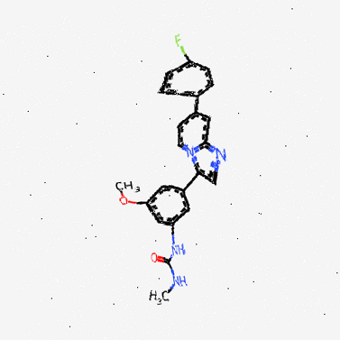 CNC(=O)Nc1cc(OC)cc(-c2cnc3cc(-c4ccc(F)cc4)ccn23)c1